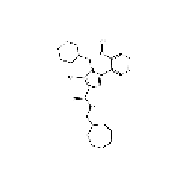 Cc1c(C(=O)NCC2CCCCCC2)cc(-c2ccccc2OC(F)(F)F)n1CC1CCCCC1